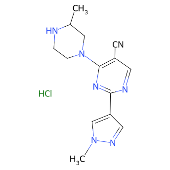 CC1CN(c2nc(-c3cnn(C)c3)ncc2C#N)CCN1.Cl